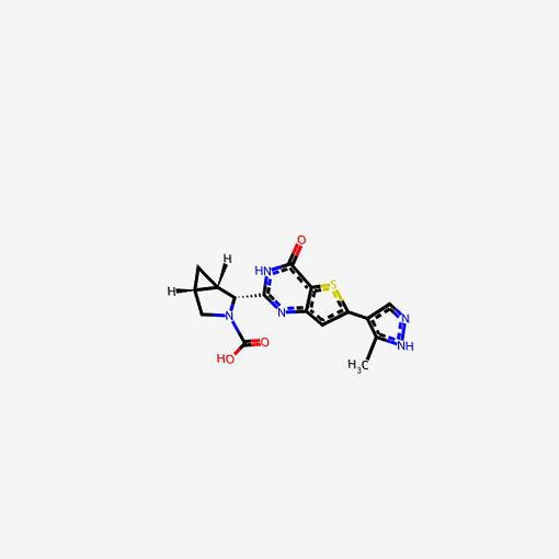 Cc1[nH]ncc1-c1cc2nc([C@H]3[C@H]4C[C@H]4CN3C(=O)O)[nH]c(=O)c2s1